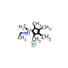 [CH2]=[Ti+2]([NH]CC)[C]1=C(C)C(C)=C(C)C1C.[Cl-].[Cl-]